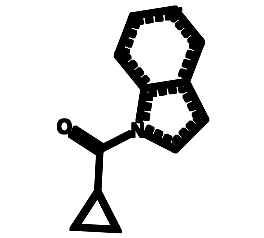 O=C(C1CC1)n1ccc2c[c]ccc21